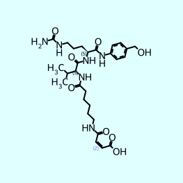 CC(C)[C@H](NC(=O)CCCCCNC(=O)/C=C\C(=O)O)C(=O)N[C@@H](CCCNC(N)=O)C(=O)Nc1ccc(CO)cc1